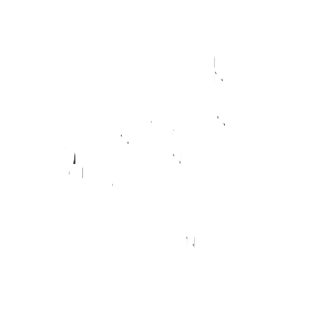 CC(C)(C)c1ccc(N(C(=O)c2c[nH]cn2)C(C(=O)N[C@H]2Cc3ccccc3[C@@H]2O)c2cccnc2)cc1